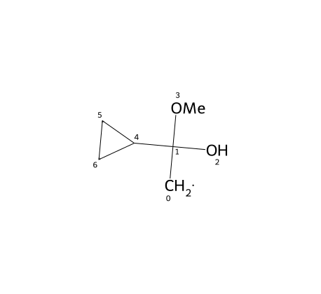 [CH2]C(O)(OC)C1CC1